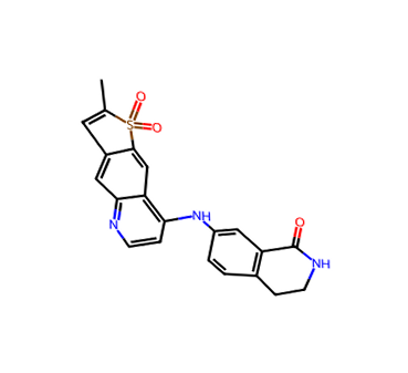 CC1=Cc2cc3nccc(Nc4ccc5c(c4)C(=O)NCC5)c3cc2S1(=O)=O